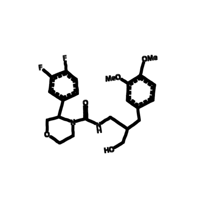 COc1ccc(CC(CO)CNC(=O)N2CCOCC2c2ccc(F)c(F)c2)cc1OC